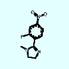 CN1CCN=C1c1ccc([N+](=O)[O-])cc1F